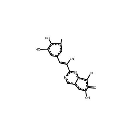 Cc1cc(/C=C(\C#N)c2ncc3cc(O)c(=O)c(O)c-3s2)cc(O)c1O